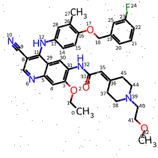 CCOc1cc2ncc(C#N)c(Nc3ccc(OCc4cccc(F)c4)c(C)c3)c2cc1NC(=O)C=C1CCN(CCOC)CC1